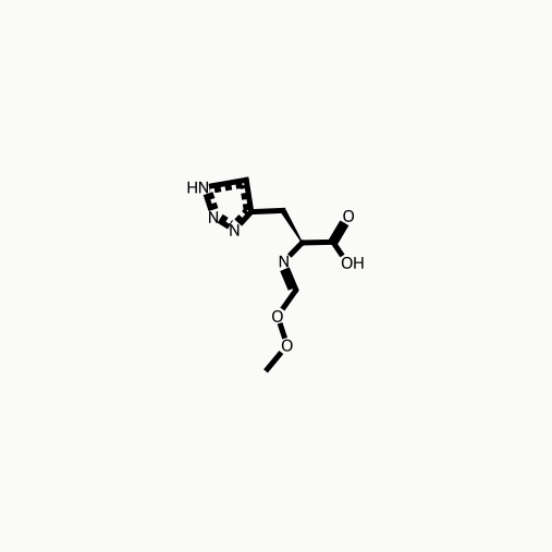 COO/C=N/[C@@H](Cc1c[nH]nn1)C(=O)O